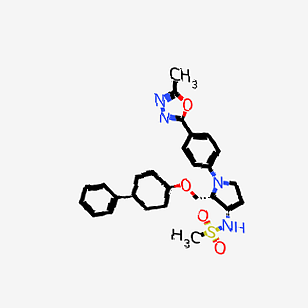 Cc1nnc(-c2ccc(N3CC[C@H](NS(C)(=O)=O)[C@@H]3CO[C@H]3CC[C@@H](c4ccccc4)CC3)cc2)o1